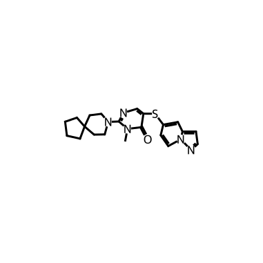 Cn1c(N2CCC3(CCCC3)CC2)ncc(Sc2ccn3nccc3c2)c1=O